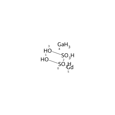 O=S(=O)(O)O.O=S(=O)(O)O.[GaH3].[Gd]